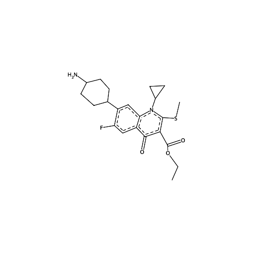 CCOC(=O)c1c(SC)n(C2CC2)c2cc(C3CCC(N)CC3)c(F)cc2c1=O